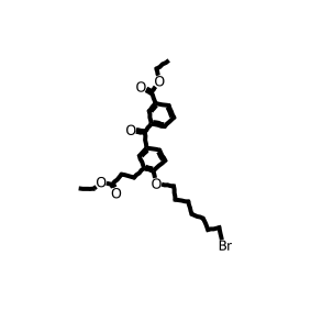 CCOC(=O)CCc1cc(C(=O)c2cccc(C(=O)OCC)c2)ccc1OCCCCCCCBr